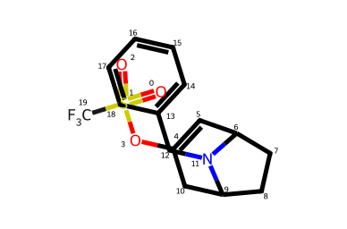 O=S(=O)(OC1=CC2CCC(C1)N2Cc1ccccc1)C(F)(F)F